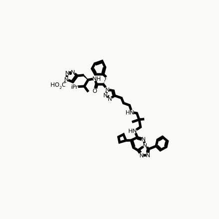 CC(C)C(C)[C@@H](Cc1cn(C(=O)O)nn1)NC(=O)[C@H](Cc1ccccc1)n1cc(CCCNCC(C)(C)CNc2nn3c(-c4ccccc4)nnc3cc2C2CCC2)nn1